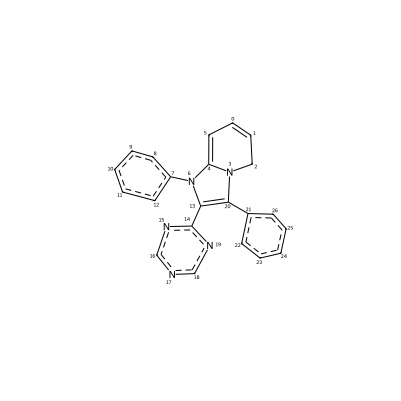 C1=CCN2C(=C1)N(c1ccccc1)C(c1ncncn1)=C2c1ccccc1